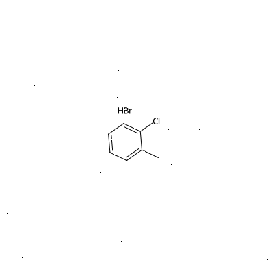 Br.Cc1ccccc1Cl